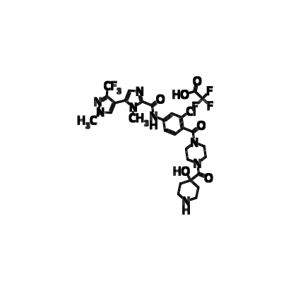 Cn1cc(-c2cnc(C(=O)Nc3ccc(C(=O)N4CCN(C(=O)C5(O)CCNCC5)CC4)c(Cl)c3)n2C)c(C(F)(F)F)n1.O=C(O)C(F)(F)F